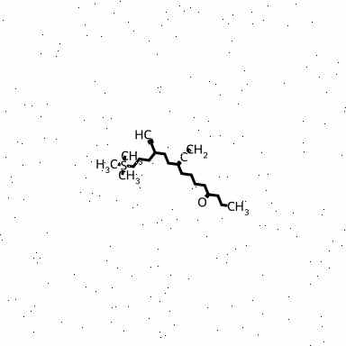 C#CC(CCCS(C)(C)C)CCC(=C=C)CCCCC(=O)CCC